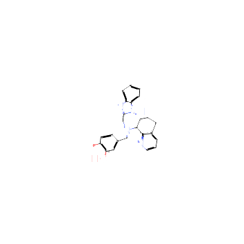 Oc1ccc(CN(Cc2nc3ccccc3[nH]2)C2CCCc3cccnc32)cc1O